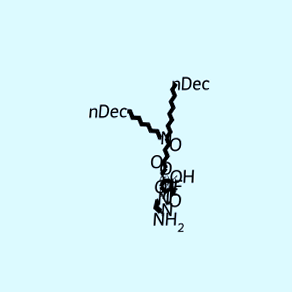 CCCCCCCCCCCCCCCCCCN(CCCCCCCCCCCCCCCCCC)C(=O)CCC(=O)OC[C@@H]1O[C@H](n2ccc(N)nc2=O)C(F)(F)[C@H]1O